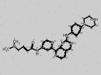 CN(C)C/C=C/C(=O)Nc1ccnc(-c2nccc3cnc(Nc4ccc(N5CCNCC5)cc4)nc23)c1